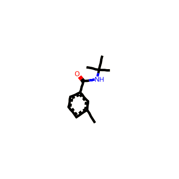 Cc1cccc(C(=O)NC(C)(C)C)c1